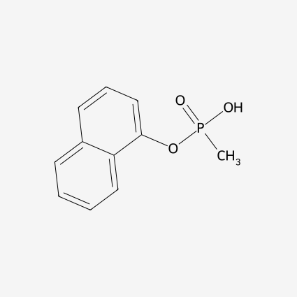 CP(=O)(O)Oc1cccc2ccccc12